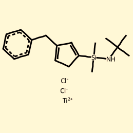 CC(C)(C)N[Si](C)(C)C1=CC(Cc2ccccc2)=CC1.[Cl-].[Cl-].[Ti+2]